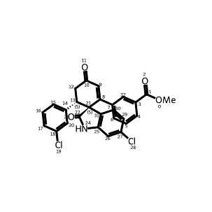 COC(=O)c1cccc(C2=CC(=O)C[C@@H](c3cccc(Cl)c3)[C@]23C(=O)Nc2cc(Cl)ccc23)c1